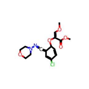 CO/C=C(/OC1C=CC(Cl)=CC1=C=NN1CCOCC1)C(=O)OC